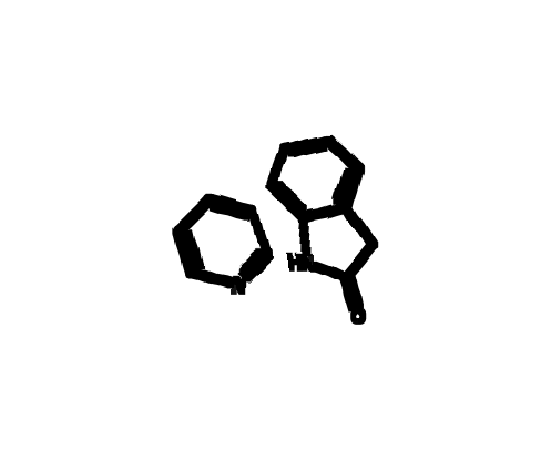 O=C1Cc2ccccc2N1.c1ccncc1